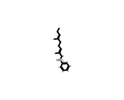 CC/C=C(\C)CC/C=C(\C)CNc1ccccc1